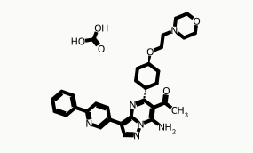 CC(=O)c1c(N)n2ncc(-c3ccc(-c4ccccc4)nc3)c2nc1[C@H]1CC[C@H](OCCN2CCOCC2)CC1.O=C(O)O